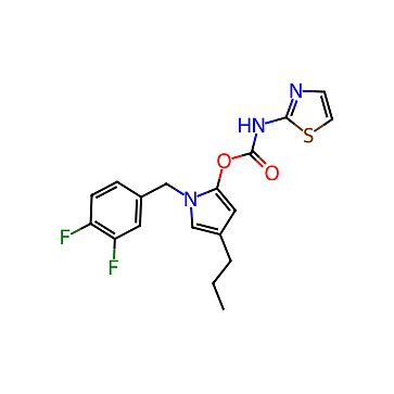 CCCc1cc(OC(=O)Nc2nccs2)n(Cc2ccc(F)c(F)c2)c1